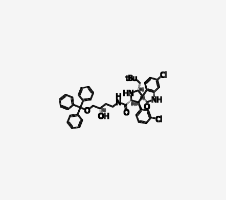 CC(C)(C)C[C@H]1N[C@@H](C(=O)NCC[C@H](O)COC(c2ccccc2)(c2ccccc2)c2ccccc2)[C@H](c2cccc(Cl)c2)[C@@]12C(=O)Nc1cc(Cl)ccc12